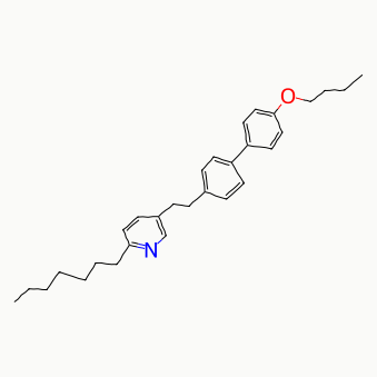 CCCCCCCc1ccc(CCc2ccc(-c3ccc(OCCCC)cc3)cc2)cn1